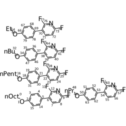 CCCCCCCCOc1ccc(-c2ccc(F)nc2F)cc1.CCCCCOc1ccc(-c2ccc(F)nc2F)cc1.CCCCOc1ccc(-c2ccc(F)nc2F)cc1.CCCOc1ccc(-c2ccc(F)nc2F)cc1.CCOc1ccc(-c2ccc(F)nc2F)cc1